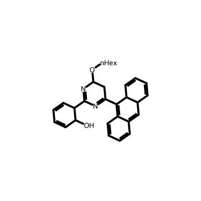 CCCCCCOC1CC(C2=c3ccccc3=CC3C=CC=CC23)=NC(C2C=CC=CC2O)=N1